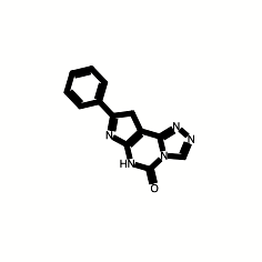 O=c1[nH]c2c(c3nncn13)CC(c1ccccc1)=N2